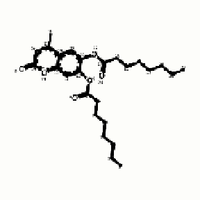 CCCCCCCC(=O)Oc1cc2oc(=O)cc(C)c2cc1OC(=O)CCCCCCC